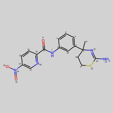 CC1(c2cccc(NC(=O)c3ccc([N+](=O)[O-])cn3)c2)CCSC(N)=N1